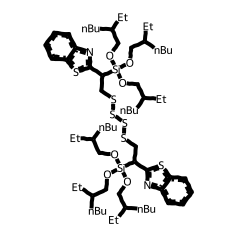 CCCCC(CC)CO[Si](OCC(CC)CCCC)(OCC(CC)CCCC)C(CSSSSCC(c1nc2ccccc2s1)[Si](OCC(CC)CCCC)(OCC(CC)CCCC)OCC(CC)CCCC)c1nc2ccccc2s1